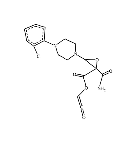 NC(=O)C1(C(=O)OC=C=O)OC1N1CCN(c2ccccc2Cl)CC1